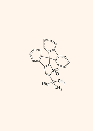 CC(C)(C)[Si](C)(C)C1=CC2=C(C3(c4ccccc42)c2ccccc2-c2ccccc23)S1(=O)=O